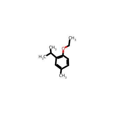 CCOc1ccc(C)cc1C(C)C